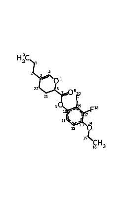 CCCC1=COC(C(=O)Oc2ccc(OCC)c(F)c2F)CC1